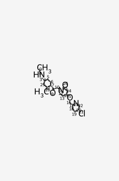 CCNCc1ccc(C(=O)Cn2ccc(OCc3ccc(Cl)cn3)cc2=O)c(C)c1